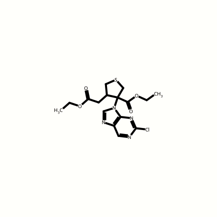 CCOC(=O)CC1CSCC1(C(=O)OCC)n1cnc2cnc(Cl)nc21